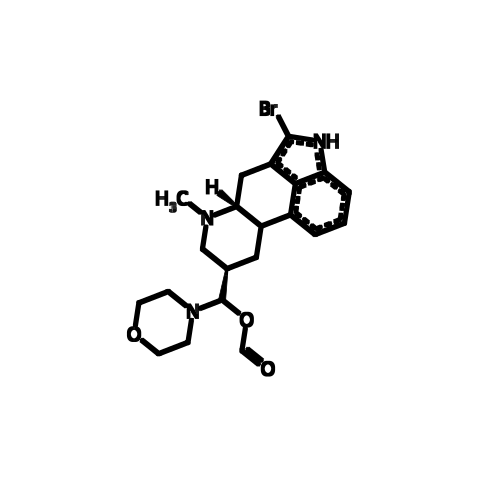 CN1C[C@H](C(OC=O)N2CCOCC2)CC2c3cccc4[nH]c(Br)c(c34)C[C@H]21